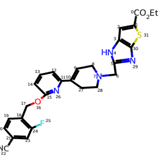 CCOC(=O)c1cc2[nH]c(CN3CC=C(c4cccc(OCc5ccc(C#N)cc5F)n4)CC3)nc2s1